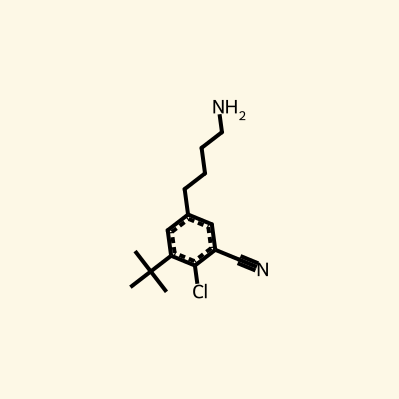 CC(C)(C)c1cc(CCCCN)cc(C#N)c1Cl